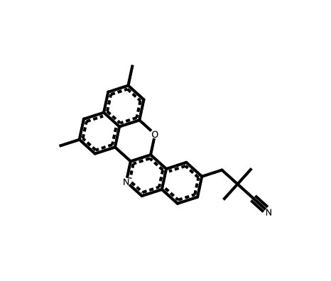 Cc1cc2c3c(cc(C)cc3c1)-c1ncc3ccc(CC(C)(C)C#N)cc3c1O2